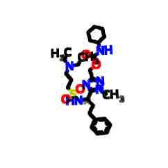 CCN(CC)CCCS(=O)(=O)N[C@H](CCc1ccccc1)c1nc(COC(=O)NC2CCCCC2)nn1C